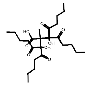 CCCCC(=O)C(O)(C(=O)CCCC)C(C)(C(=O)O)C(O)(C(=O)CCCC)C(=O)CCCC